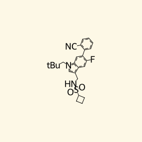 CC(C)(C)Cn1cc(CNS(=O)(=O)C2CCC2)c2cc(F)c(-c3ccccc3C#N)cc21